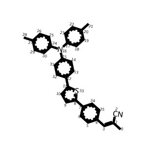 C/C(C#N)=C/c1ccc(-c2ccc(-c3ccc(N(c4ccc(C)cc4)c4ccc(C)cc4)cc3)s2)cc1